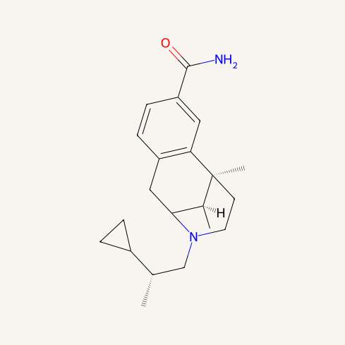 C[C@@H](CN1CC[C@]2(C)c3cc(C(N)=O)ccc3CC1[C@@H]2C)C1CC1